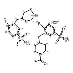 CC(=O)N1CCC(Cc2cc(S(N)(=O)=O)ccc2F)CC1.Cl.NS(=O)(=O)c1ccc(F)c(CC2CCNCC2)c1